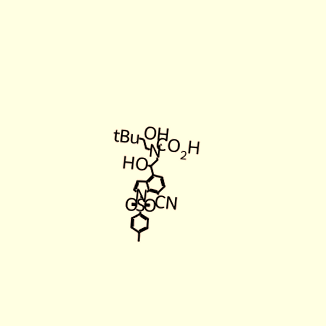 Cc1ccc(S(=O)(=O)n2ccc3c(C(O)CN(CC(O)C(C)(C)C)C(=O)O)ccc(C#N)c32)cc1